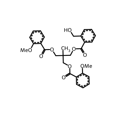 COc1ccccc1C(=O)OCC(C)(COC(=O)c1ccccc1CO)COC(=O)c1ccccc1OC